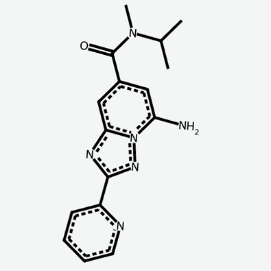 CC(C)N(C)C(=O)c1cc(N)n2nc(-c3ccccn3)nc2c1